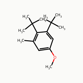 COc1cc(C)c(C(C)(C)C)c(C(C)(C)C)c1